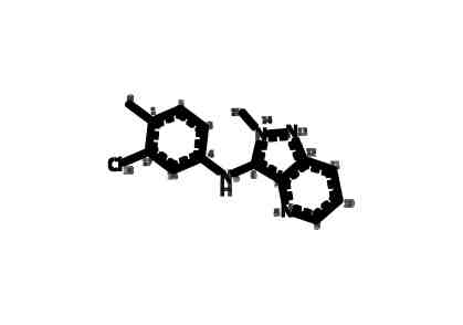 Cc1ccc(Nc2c3ncccc3nn2C)cc1Cl